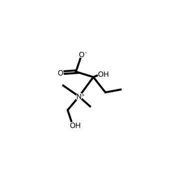 CCC(O)(C(=O)[O-])[N+](C)(C)CO